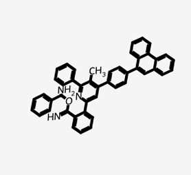 Cc1c(-c2ccc(-c3cc4ccccc4c4ccccc34)cc2)cc(-c2ccccc2C(=N)OC(N)c2ccccc2)nc1-c1ccccc1